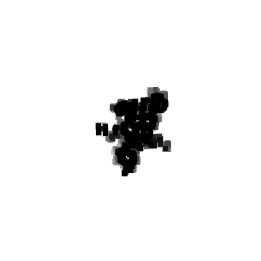 CC1CN(C(=O)c2ccc[nH]2)C(c2cccc(C3OCCO3)c2)c2c(C(N)=O)nn(Cc3ccc(F)cc3)c21